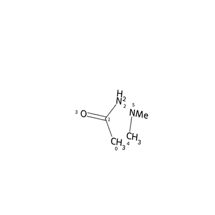 CC(N)=O.CNC